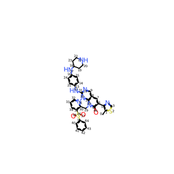 Cc1scnc1-c1cc2cnc(Nc3ccc(NC4CCNCC4)cc3)nc2n(Cc2ncccc2S(=O)(=O)c2ccccc2)c1=O